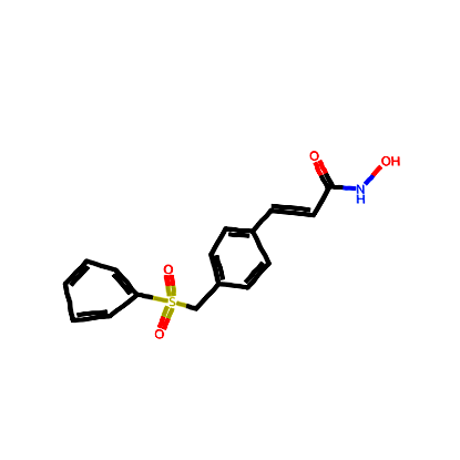 O=C(C=Cc1ccc(CS(=O)(=O)c2ccccc2)cc1)NO